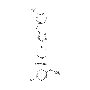 COc1ccc(Br)cc1S(=O)(=O)N1CCN(c2nc(Cc3cccc(C)c3)cs2)CC1